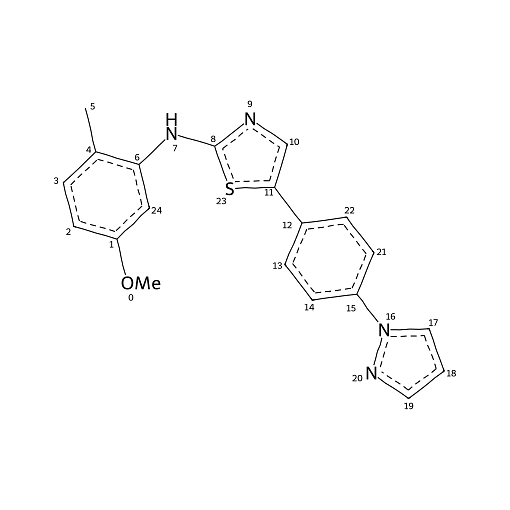 COc1ccc(C)c(Nc2ncc(-c3ccc(-n4cccn4)cc3)s2)c1